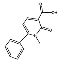 Cn1c(-c2ccccc2)ccc(C(=O)O)c1=O